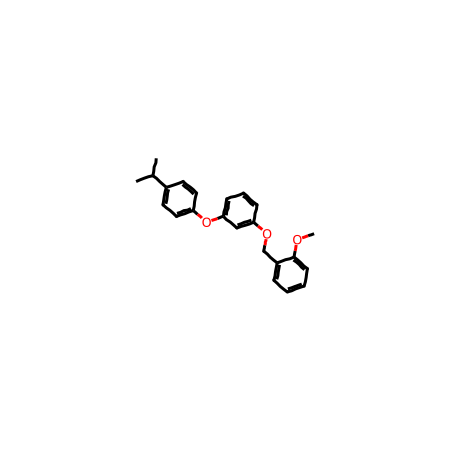 COc1ccccc1COc1cccc(Oc2ccc(C(C)C)cc2)c1